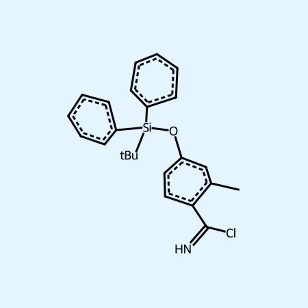 Cc1cc(O[Si](c2ccccc2)(c2ccccc2)C(C)(C)C)ccc1C(=N)Cl